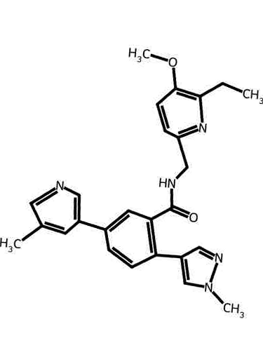 CCc1nc(CNC(=O)c2cc(-c3cncc(C)c3)ccc2-c2cnn(C)c2)ccc1OC